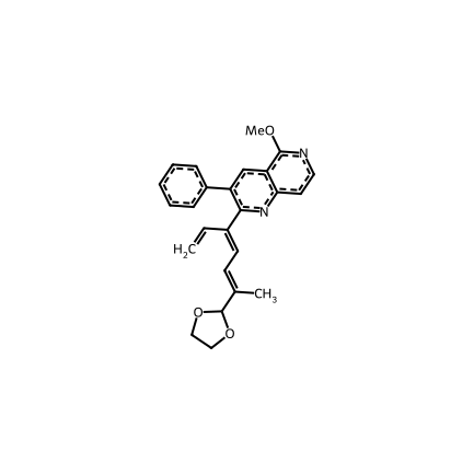 C=C/C(=C\C=C(/C)C1OCCO1)c1nc2ccnc(OC)c2cc1-c1ccccc1